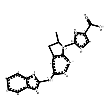 CC1Cc2cc(Nc3nc4ccccc4s3)nnc2N1c1nc(C(=O)O)cs1